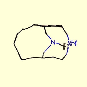 CC(C)N1C2CCCC1CNC2